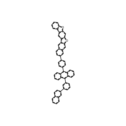 c1cc(-c2ccc3ccccc3c2)cc(-c2c3ccccc3c(-c3ccc(-c4ccc5cc6c(cc5c4)oc4cc5oc7ccccc7c5cc46)cc3)c3ccccc23)c1